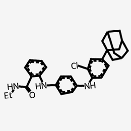 CCNC(=O)c1ccccc1Nc1ccc(Nc2ccc(C34CC5CC(CC(C5)C3)C4)cc2Cl)cc1